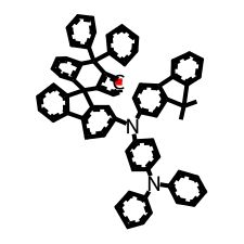 CC1(C)c2ccccc2-c2ccc(N(c3ccc(N(c4ccccc4)c4ccccc4)cc3)c3ccc4c(c3)C3(c5ccccc5-4)c4ccccc4C(c4ccccc4)(c4ccccc4)c4ccccc43)cc21